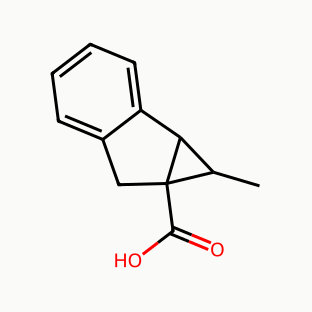 CC1C2c3ccccc3CC12C(=O)O